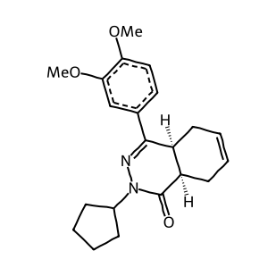 COc1ccc(C2=NN(C3CCCC3)C(=O)[C@@H]3CC=CC[C@H]23)cc1OC